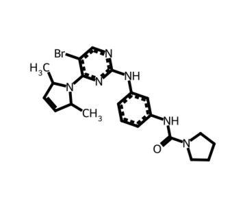 CC1C=CC(C)N1c1nc(Nc2cccc(NC(=O)N3CCCC3)c2)ncc1Br